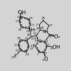 O=C1c2c(O)c(=O)cnn2[C@@H]([C@H](c2ccc(O)cc2)c2ccc(F)cc2)[C@H]2CCCN12